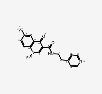 CCn1cc(C(=O)NCCc2ccncc2)c(=O)c2cc(C(F)(F)F)ccc21